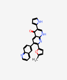 Cc1ccc(-c2nc3[nH]cc(-c4ccc[nH]4)c(=O)c3cc2-c2ccc3ncccc3c2)o1